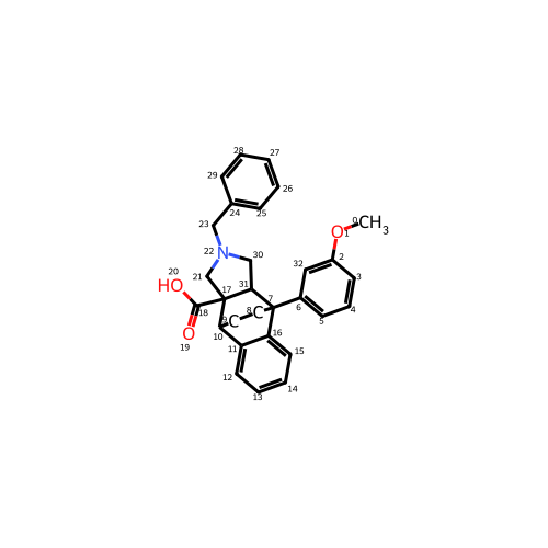 COc1cccc(C23CCC(c4ccccc42)C2(C(=O)O)CN(Cc4ccccc4)CC32)c1